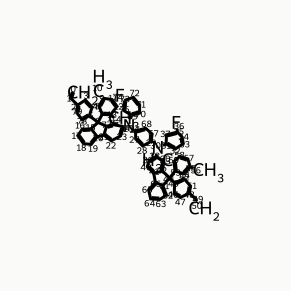 C=Cc1ccc(C2(c3cc(C)ccc3C)c3ccccc3-c3ccc(N(c4ccc(N(c5cccc(F)c5)c5ccc6c(c5)C(c5ccc(C=C)cc5)(c5cc(C)ccc5C)c5ccccc5-6)cc4)c4cccc(F)c4)cc32)cc1